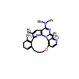 Bc1cc2c3nc1C1=C(P)CCC=C1CCCOc1ccnc(C(C)C)c1N3C(=C)N=C2N(CCC)C(C)CC